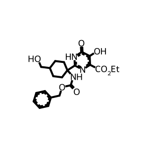 CCOC(=O)c1nc(C2(NC(=O)OCc3ccccc3)CCC(CO)CC2)[nH]c(=O)c1O